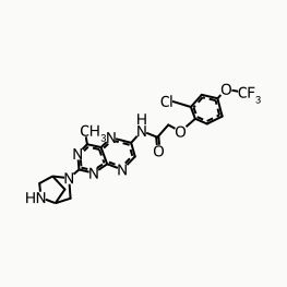 Cc1nc(N2CC3CC2CN3)nc2ncc(NC(=O)COc3ccc(OC(F)(F)F)cc3Cl)nc12